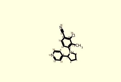 Cc1c(N2CCCC2c2ccncc2)ccc(C#N)c1Cl